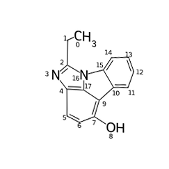 CCc1nc2ccc(O)c3c4ccccc4n1c23